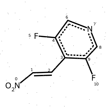 O=[N+]([O-])C=Cc1c(F)cncc1F